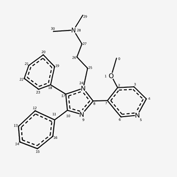 COc1ccncc1-c1nc(-c2ccccc2)c(-c2ccccc2)n1CCCN(C)C